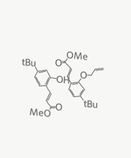 C=CCOc1cc(C(C)(C)C)ccc1/C=C/C(=O)OC.COC(=O)/C=C/c1ccc(C(C)(C)C)cc1O